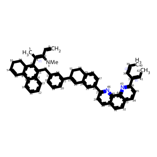 C=C/C(NC)=C(\C)c1c2c(c3ccccc3c1Cc1cccc(C3=Cc4cc(-c5ccc6ccc7ccc(C(/C=C\C)=C/C)nc7c6n5)ccc4CC3)c1)C=CCC2